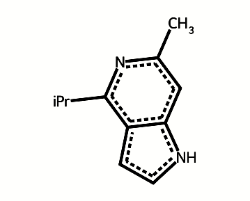 Cc1cc2[nH]ccc2c(C(C)C)n1